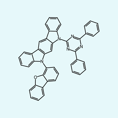 c1ccc(-c2nc(-c3ccccc3)nc(-n3c4ccccc4c4cc5c6ccccc6n(-c6cccc7c6oc6ccccc67)c5cc43)n2)cc1